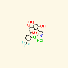 CN1CCC(c2c(O)cc(O)c3c(=O)cc(-c4ccc(C(F)(F)F)cc4Cl)oc23)C1(C)O.Cl